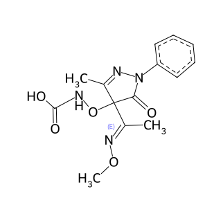 CO/N=C(\C)C1(ONC(=O)O)C(=O)N(c2ccccc2)N=C1C